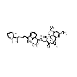 Cc1cc(C)c(S(=O)(=O)NC(CNC(=O)c2cccc3c(CCCNC4NC=CCN4)nn(C)c23)C(=O)O)c(C)c1